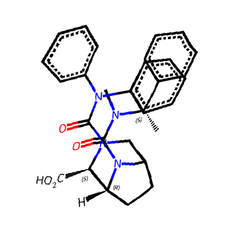 C[C@@H](c1ccccc1)N(C)C(=O)N1C2CC[C@@H]1[C@@H](C(=O)O)N(C(=O)N(c1ccccc1)c1ccccc1)C2